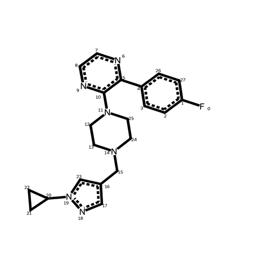 Fc1ccc(-c2nccnc2N2CCN(Cc3cnn(C4CC4)c3)CC2)cc1